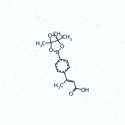 CC(=CC(=O)O)c1ccc(B2OC(C)(C)C(C)(C)O2)cc1